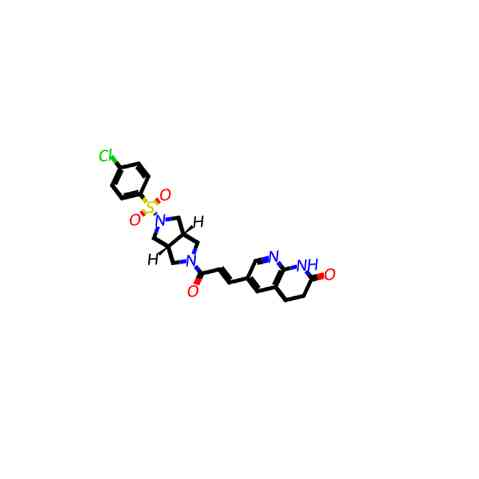 O=C1CCc2cc(/C=C/C(=O)N3C[C@@H]4CN(S(=O)(=O)c5ccc(Cl)cc5)C[C@@H]4C3)cnc2N1